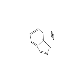 N#N.c1ccc2sncc2c1